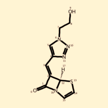 O=C1/C(=C/c2cn(CCO)nn2)[C@H]2SC=CN12